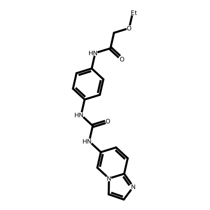 CCOCC(=O)Nc1ccc(NC(=O)Nc2ccc3nccn3c2)cc1